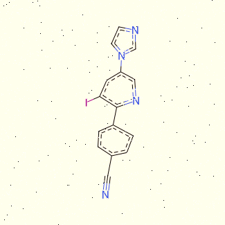 N#Cc1ccc(-c2ncc(-n3ccnc3)cc2I)cc1